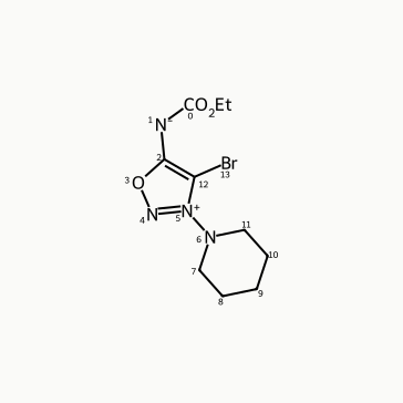 CCOC(=O)[N-]c1on[n+](N2CCCCC2)c1Br